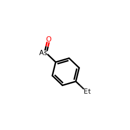 CCc1ccc([As]=O)cc1